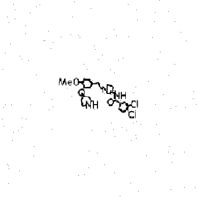 COc1ccc(CCN2CC[C@H](NC(=O)c3ccc(Cl)c(Cl)c3)C2)cc1OC1CCNCC1